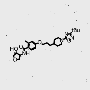 Cc1cc(OCCCC2CCN(c3nc(C(C)(C)C)no3)CC2)ccc1C(=O)N[C@H]1COC[C@@H]1O